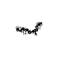 Cc1c(-c2cc3cc4c(c(C#N)c3o2)CC[C@H]4N2CC[C@@H](C(=O)NS(=O)(=O)C3(C)CC3)C2)cccc1-c1cccc(Nc2nccc3cc(CN4CC[C@@H](O)C4)cnc23)c1Cl